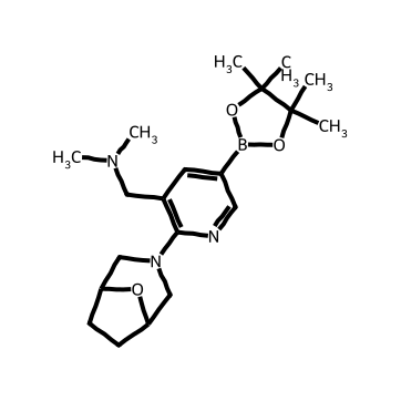 CN(C)Cc1cc(B2OC(C)(C)C(C)(C)O2)cnc1N1CC2CCC(C1)O2